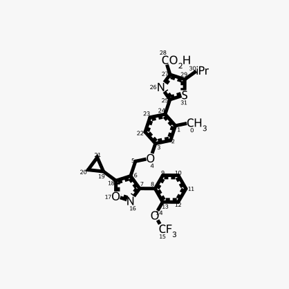 Cc1cc(OCc2c(-c3ccccc3OC(F)(F)F)noc2C2CC2)ccc1-c1nc(C(=O)O)c(C(C)C)s1